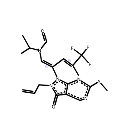 C=CCn1c(=O)c2cnc(SC)nc2n1C(=C/N(C=O)C(C)C)/C=C(\C)C(F)(F)F